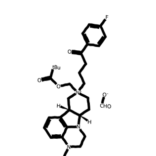 CN1CCN2c3c(cccc31)[C@@H]1C[N+](CCCC(=O)c3ccc(F)cc3)(COC(=O)C(C)(C)C)CC[C@@H]12.O=C[O-]